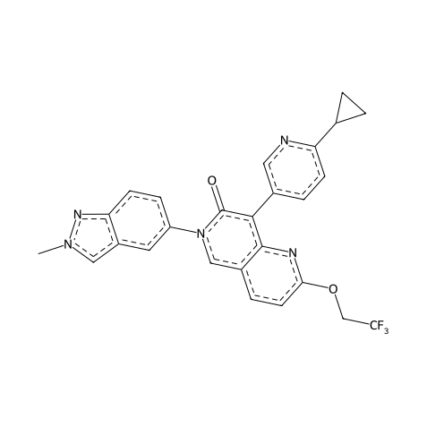 Cn1cc2cc(-n3cc4ccc(OCC(F)(F)F)nc4c(-c4ccc(C5CC5)nc4)c3=O)ccc2n1